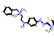 CCN(CC[N+](C)(C)Cc1ccccc1)c1ccc(/N=N/c2scc[n+]2C)cc1